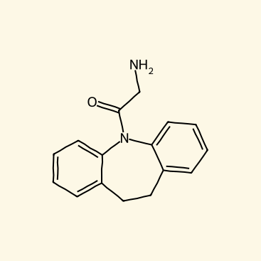 NCC(=O)N1c2ccccc2CCc2ccccc21